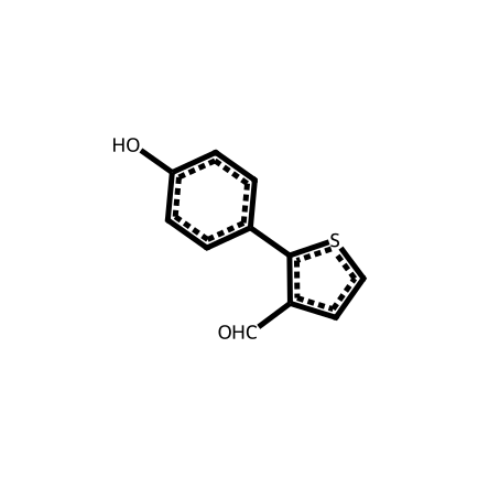 O=Cc1ccsc1-c1ccc(O)cc1